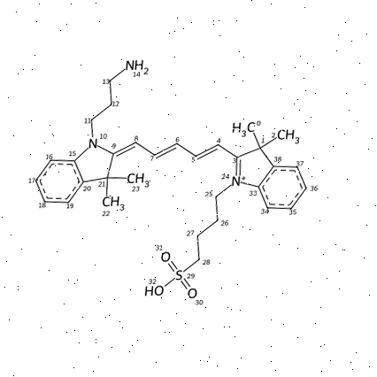 CC1(C)C(/C=C/C=C/C=C2/N(CCCN)c3ccccc3C2(C)C)=[N+](CCCCS(=O)(=O)O)c2ccccc21